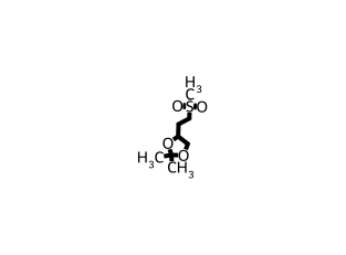 CC1(C)OCC(CCS(C)(=O)=O)O1